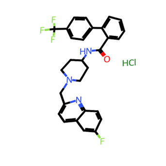 Cl.O=C(NC1CCN(Cc2ccc3cc(F)ccc3n2)CC1)c1ccccc1-c1ccc(C(F)(F)F)cc1